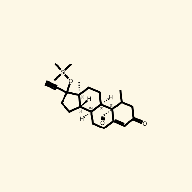 C#CC1(O[Si](C)(C)C)CC[C@H]2[C@@H]3CCC4=CC(=O)CC(C)[C@]4(C=O)[C@@H]3CC[C@@]21C